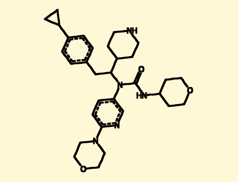 O=C(NC1CCOCC1)N(c1ccc(N2CCOCC2)nc1)C(Cc1ccc(C2CC2)cc1)C1CCNCC1